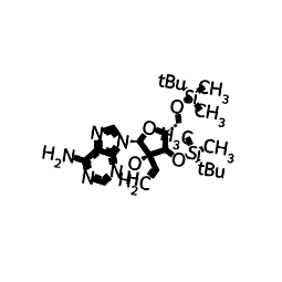 C=C[C@@]1(O)C(O[Si](C)(C)C(C)(C)C)[C@@H](CO[Si](C)(C)C(C)(C)C)O[C@H]1n1cnc2c(N)ncnc21